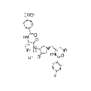 CC(C)C[C@@H](CN1CC(=O)C(NC(=O)[C@H](CC(C)C)NC(=O)c2ccc(C(=O)[O-])cc2)C1)NC(=O)c1ccc(F)cc1.[Li+]